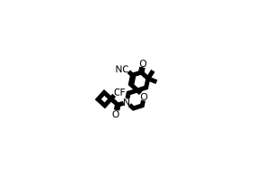 CC1(C)CC2(C=C(C#N)C1=O)CN(C(=O)C1(C(F)(F)F)CCC1)CCO2